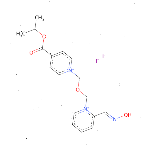 CC(C)OC(=O)c1cc[n+](COC[n+]2ccccc2C=NO)cc1.[I-].[I-]